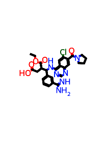 CCOC(=O)C(CC(=O)O)C(Nc1ncnc2cc(C(=O)N3CCCC3)c(Cl)cc12)c1cccc(C(=N)N)c1